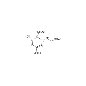 COCO[C@@H]1C=C(C(=O)O)C[C@H](N)[C@H]1NC(C)=O